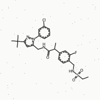 CCS(=O)(=O)NCc1ccc(C(C)C(=O)NCc2cc(C(C)(C)C)nn2-c2cccc(Cl)c2)cc1F